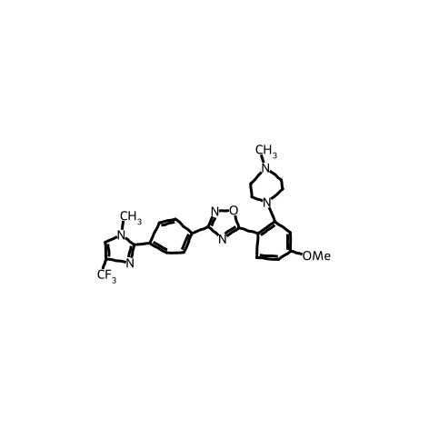 COc1ccc(-c2nc(-c3ccc(-c4nc(C(F)(F)F)cn4C)cc3)no2)c(N2CCN(C)CC2)c1